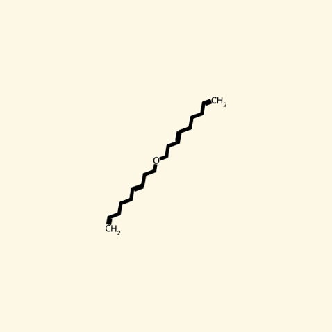 C=CCCCC=CCCOCCC=CCCCC=C